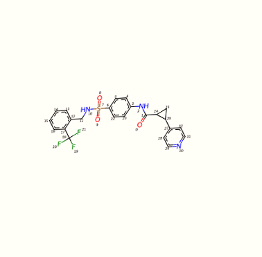 O=C(Nc1ccc(S(=O)(=O)NCc2ccccc2C(F)(F)F)cc1)C1CC1c1ccncc1